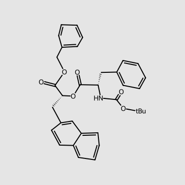 CC(C)(C)OC(=O)N[C@@H](Cc1ccccc1)C(=O)O[C@H](Cc1ccc2ccccc2c1)C(=O)OCc1ccccc1